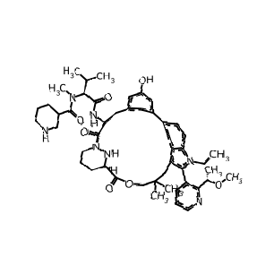 CCn1c(-c2cccnc2[C@H](C)OC)c2c3cc(ccc31)-c1cc(O)cc(c1)C[C@H](NC(=O)[C@H](C(C)C)N(C)C(=O)C1CCCNC1)C(=O)N1CCC[C@H](N1)C(=O)OCC(C)(C)C2